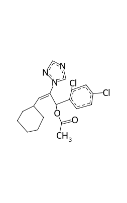 CC(=O)OC(/C(=C\C1CCCCC1)n1cncn1)c1ccc(Cl)cc1Cl